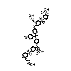 CSc1ccc(C(C)(c2ccc(Sc3ccc(S(=O)(=O)c4cccc(S(=O)(=O)O)c4)cc3SOOO)cc2)c2ccc(Sc3ccc(S(=O)(=O)c4ccc(C)c(SOOO)c4)cc3S(=O)(=O)O)cc2)cc1